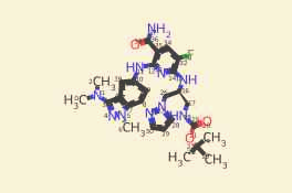 CN(C)c1nn(C)c2ccc(Nc3nc(N[C@@H](CNC(=O)OC(C)(C)C)Cn4cccn4)c(F)cc3C(N)=O)cc12